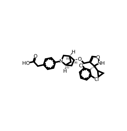 O=C(O)Cc1ccc(N2C[C@@H]3C[C@H]2C[C@H]3OCC2=CON[C@@]2(c2c(Cl)cccc2Cl)C2CC2)cc1